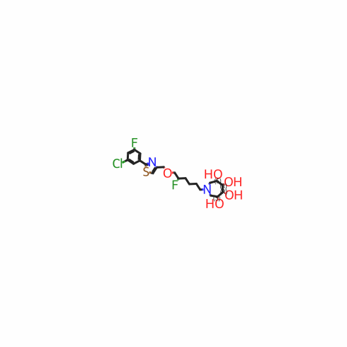 O[C@H]1[C@H](O)[C@@H](O)CN(CCCCC(F)COCc2csc(-c3cc(F)cc(Cl)c3)n2)C[C@@H]1O